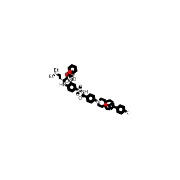 CCN(CC)CC[C@H](CSc1ccccc1)Nc1ccc(S(=O)(=O)NC(=O)c2ccc(N3CCN(C4C5=C(c6ccc(Cl)cc6)C4CCCC5)CC3)cc2)cc1S(=O)(=O)C(F)(F)Cl